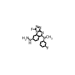 CN(c1cccc(F)c1)c1nc2nnc(F)n2c2cc(NN)ccc12